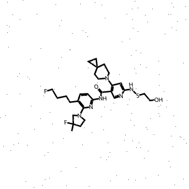 CC1(F)CCN(c2nc(NC(=O)c3cnc(NSCCO)cc3N3CCC4(CC3)CC4)ccc2CCCCF)C1